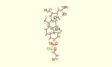 CC[C@H](CC[C@@H](C)[C@H]1CCC2C3CCC4C[C@@H](OP(=O)(Cl)OCCBr)CC[C@]4(C)C3CC[C@@]21C)C(C)C